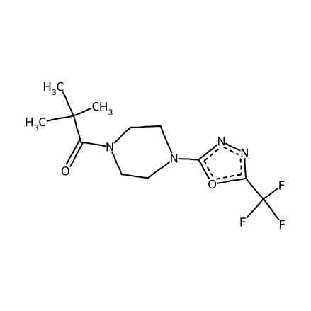 CC(C)(C)C(=O)N1CCN(c2nnc(C(F)(F)F)o2)CC1